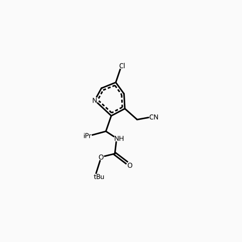 CC(C)C(NC(=O)OC(C)(C)C)c1ncc(Cl)cc1CC#N